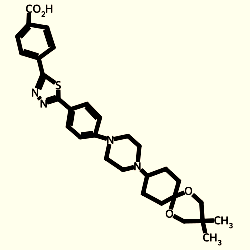 CC1(C)COC2(CCC(N3CCN(c4ccc(-c5nnc(-c6ccc(C(=O)O)cc6)s5)cc4)CC3)CC2)OC1